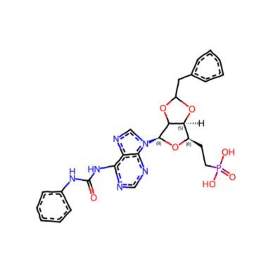 O=C(Nc1ccccc1)Nc1ncnc2c1ncn2[C@@H]1O[C@H](CCP(=O)(O)O)[C@@H]2OC(Cc3ccccc3)OC21